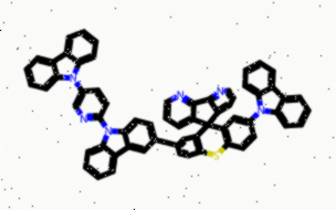 c1cnc2c(c1)C1(c3cc(-c4ccc5c(c4)c4ccccc4n5-c4ccc(-n5c6ccccc6c6ccccc65)cn4)ccc3Sc3ccc(-n4c5ccccc5c5ccccc54)cc31)c1cccnc1-2